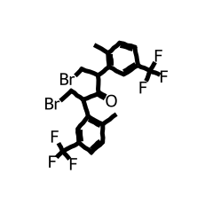 Cc1ccc(C(F)(F)F)cc1C(CBr)C(=O)C(CBr)c1cc(C(F)(F)F)ccc1C